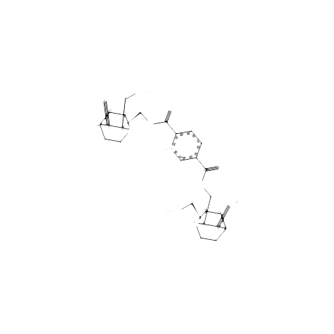 COC[C@@]1(COC(=O)c2ccc(C(=O)OC[C@]3(COC)C(=O)C4CCN3CC4)nc2)C(=O)C2CCN1CC2